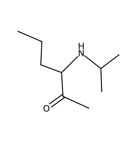 CCCC(NC(C)C)C(C)=O